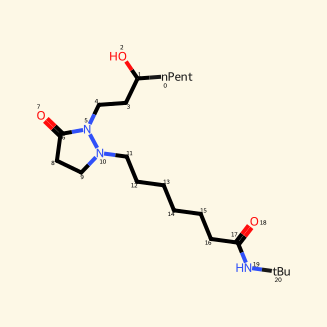 CCCCCC(O)CCN1C(=O)CCN1CCCCCCC(=O)NC(C)(C)C